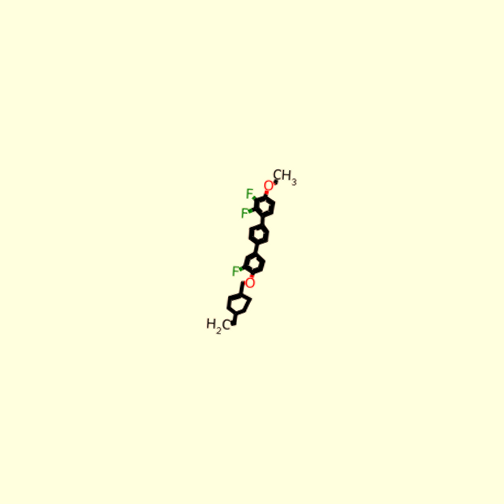 C=CC1CC=C(COc2ccc(-c3ccc(-c4ccc(OCC)c(F)c4F)cc3)cc2F)CC1